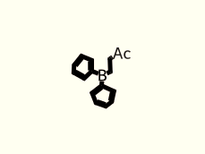 CC(=O)CCB(c1ccccc1)c1ccccc1